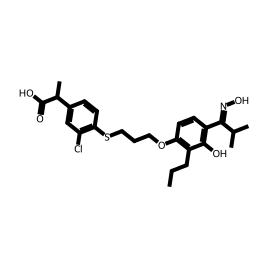 CCCc1c(OCCCSc2ccc(C(C)C(=O)O)cc2Cl)ccc(C(=NO)C(C)C)c1O